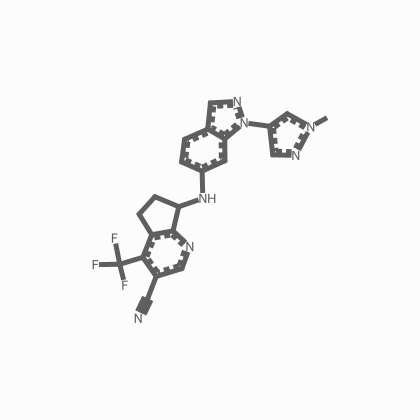 Cn1cc(-n2ncc3ccc(NC4CCc5c4ncc(C#N)c5C(F)(F)F)cc32)cn1